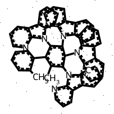 Cc1ccccc1-c1c(C)c(-n2c3ccccc3c3cccnc32)c(-n2c3ccccc3c3cccnc32)c(-n2c3ccccc3c3cccnc32)c1-n1c2ccccc2c2cccnc21